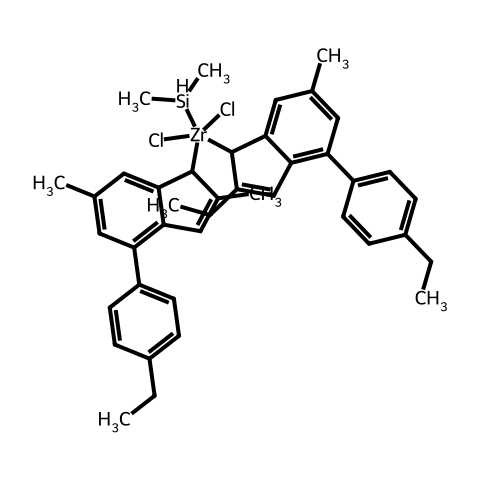 CCC1=Cc2c(-c3ccc(CC)cc3)cc(C)cc2[CH]1[Zr]([Cl])([Cl])([CH]1C(C)=Cc2c(-c3ccc(CC)cc3)cc(C)cc21)[SiH](C)C